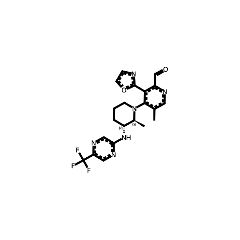 Cc1cnc(C=O)c(-c2ncco2)c1N1CCC[C@@H](Nc2cnc(C(F)(F)F)cn2)[C@@H]1C